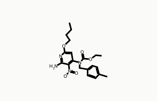 CCCCOc1cc(N(Cc2ccc(C)cc2)C(=O)OCC)c([N+](=O)[O-])c(N)n1